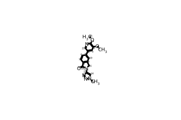 COc1cc(-c2ccc3c(c2)CN(c2cn(C)nn2)C3=O)cnc1OC